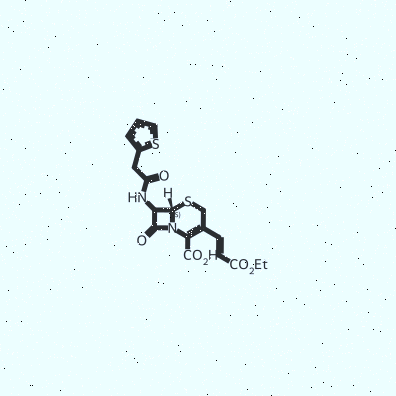 CCOC(=O)C=CC1=C(C(=O)O)N2C(=O)C(NC(=O)Cc3cccs3)[C@@H]2SC1